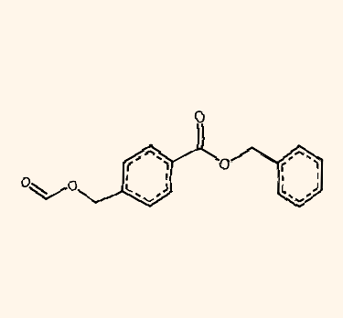 O=COCc1ccc(C(=O)OCc2ccccc2)cc1